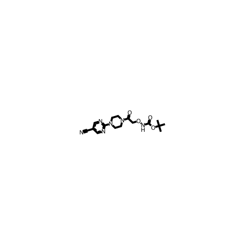 CC(C)(C)OC(=O)NOCC(=O)N1CCN(c2ncc(C#N)cn2)CC1